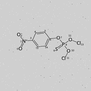 O=[N+]([O-])c1ccc(OP(=S)(OCl)OCl)cc1